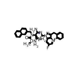 C=C(/N=C(/N)C(=C(N)N)N(Cc1ccc2ccccc2c1)C(=O)OC)n1nc(Cc2ccccc2F)c2ncc(F)cc21